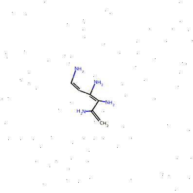 C=C(N)/C(N)=C(N)\C=C/N